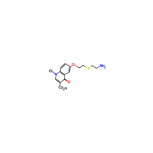 CCn1cc(C(=O)O)c(=O)c2cc(OCCSCCN)ccc21